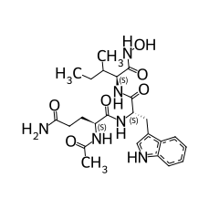 CCC(C)[C@H](NC(=O)[C@H](Cc1c[nH]c2ccccc12)NC(=O)[C@H](CCC(N)=O)NC(C)=O)C(=O)NO